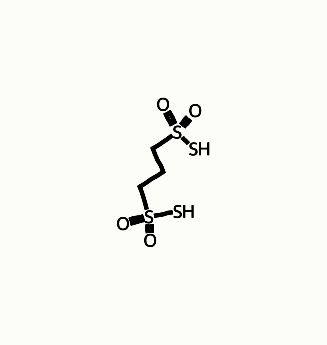 O=S(=O)(S)CCCS(=O)(=O)S